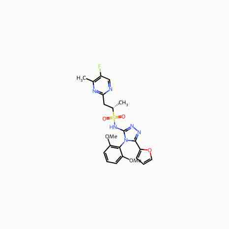 COc1cccc(OC)c1-n1c(NS(=O)(=O)[C@@H](C)Cc2ncc(F)c(C)n2)nnc1-c1ccco1